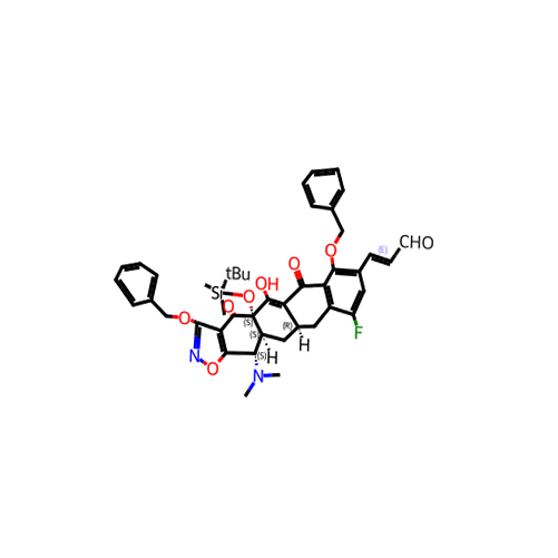 CN(C)[C@@H]1c2onc(OCc3ccccc3)c2C(=O)[C@@]2(O[Si](C)(C)C(C)(C)C)C(O)=C3C(=O)c4c(c(F)cc(/C=C/C=O)c4OCc4ccccc4)C[C@H]3C[C@@H]12